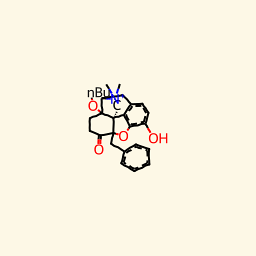 CCCCOC12CCC(=O)C3(Cc4ccccc4)Oc4c(O)ccc5c4[C@@]31CC[N+](C)(C)C2C5